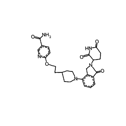 NC(=O)c1ccc(OCCC2CCN(c3cccc4c3CN(C3CCC(=O)NC3=O)C4=O)CC2)nc1